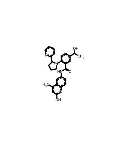 Cc1cc(O)nc2ccc(NC(=O)c3cc(C(C)O)ccc3N3CCCC3c3ccccn3)cc12